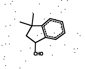 CC1(C)CC(C=O)c2ccccc21